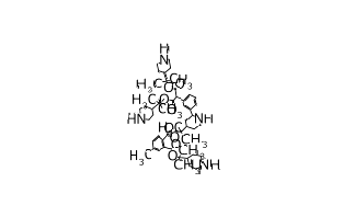 Cc1ccc(C(=O)OC(C)(C)C2CCNC(c3cccc(C(C(=O)OC(C)(C)C4CCNCC4)C(=O)OC(C)(C)C4CCNCC4)c3)C2)c(C(=O)OC(C)(C)C2CCNCC2)c1